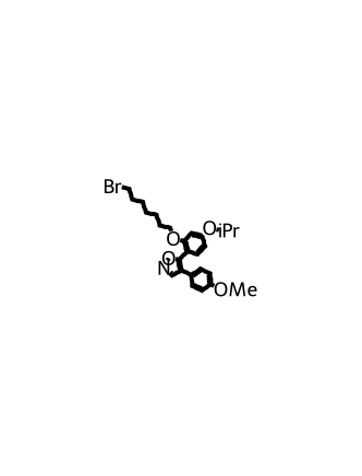 COc1ccc(-c2cnoc2-c2ccc(OC(C)C)cc2OCCCCCCCBr)cc1